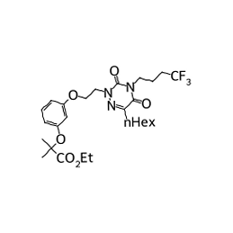 CCCCCCc1nn(CCOc2cccc(OC(C)(C)C(=O)OCC)c2)c(=O)n(CCCC(F)(F)F)c1=O